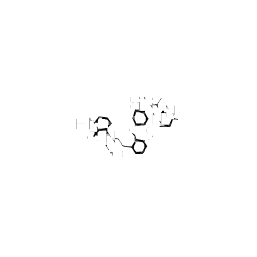 Cc1ccnc(C(C)Nc2ccc3c(c2)Sc2cccc(C4CN(c5ccc[nH]c5=O)CCO4)c2S3)n1